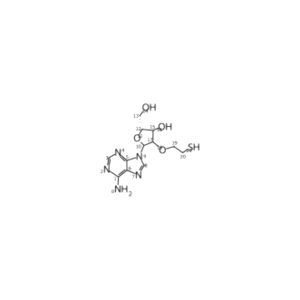 Nc1ncnc2c1ncn2C1O[C@H](CO)C(O)C1OCCS